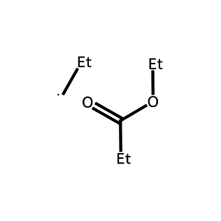 CCOC(=O)CC.[CH2]CC